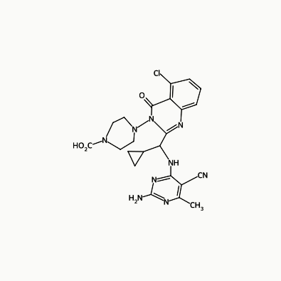 Cc1nc(N)nc(NC(c2nc3cccc(Cl)c3c(=O)n2N2CCN(C(=O)O)CC2)C2CC2)c1C#N